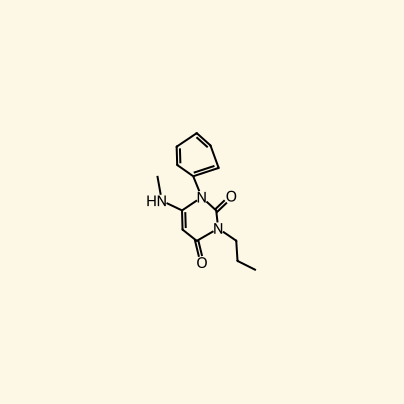 CCCn1c(=O)cc(NC)n(-c2ccccc2)c1=O